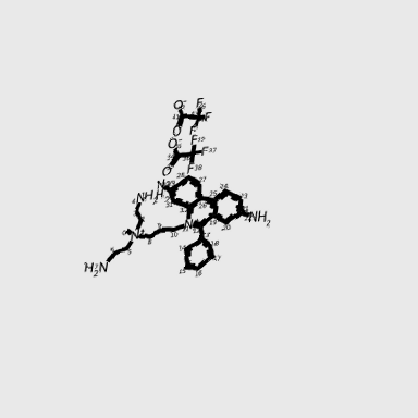 C[N+](CCN)(CCN)CCC[n+]1c(-c2ccccc2)c2cc(N)ccc2c2ccc(N)cc21.O=C([O-])C(F)(F)F.O=C([O-])C(F)(F)F